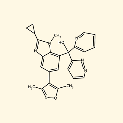 Cc1noc(C)c1-c1cc(C(O)(c2ccccn2)c2cccnn2)c2c(c1)nc(C1CC1)n2C